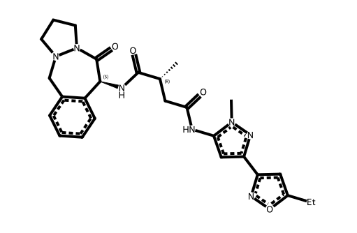 CCc1cc(-c2cc(NC(=O)C[C@@H](C)C(=O)N[C@@H]3C(=O)N4CCCN4Cc4ccccc43)n(C)n2)no1